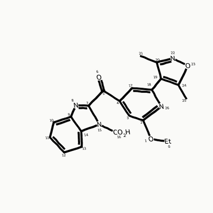 CCOc1cc(C(=O)c2nc3ccccc3n2C(=O)O)cc(-c2c(C)noc2C)n1